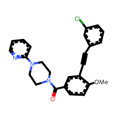 COc1ccc(C(=O)N2CCN(c3ccccn3)CC2)cc1C#Cc1cccc(Cl)c1